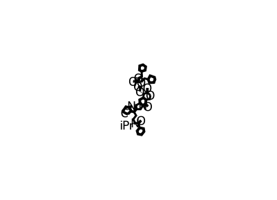 CC(C)N(CCc1c2c(nc3ccccc13)-c1cc3c(c(=O)n1C2)COC(=O)[C@H]3OCOP(=O)(OCc1ccccc1)OCc1ccccc1)C(=O)c1ccccc1